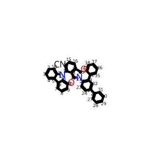 N#Cc1cccc2c3ccccc3n(-c3cccc4c3C(=O)N(c3ccc(-c5ccccc5)cc3-c3ccccc3)C4=O)c12